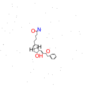 CN(C)C(=O)CCCCC1=C[C@H]2C[C@@H](O)[C@H](/C=C/C(=O)Cc3ccccc3)[C@H]2C1